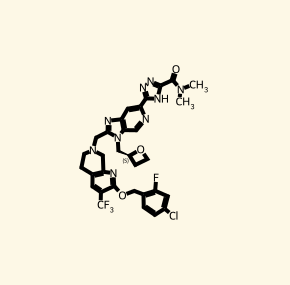 CN(C)C(=O)c1nnc(-c2cc3nc(CN4CCc5cc(C(F)(F)F)c(OCc6ccc(Cl)cc6F)nc5C4)n(C[C@@H]4CCO4)c3cn2)[nH]1